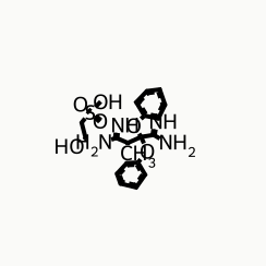 CC(C(=N)N)C(Oc1ccccc1)(Oc1ccccc1)C(=N)N.O=S(=O)(O)CCO